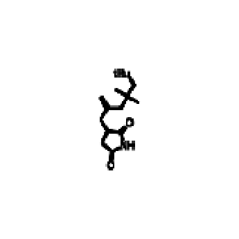 C=C(CC1CC(=O)NC1=O)CC(C)(C)CC(C)(C)C